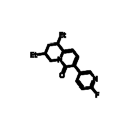 CCC1CC(CC)c2ccc(-c3ccc(F)nc3)c(=O)n2C1